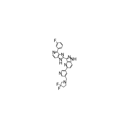 Fc1cccc(-c2nccc3[nH]c(-c4n[nH]c5ccc(-c6cncc(CN7CCC(F)(F)C7)c6)nc45)nc23)c1